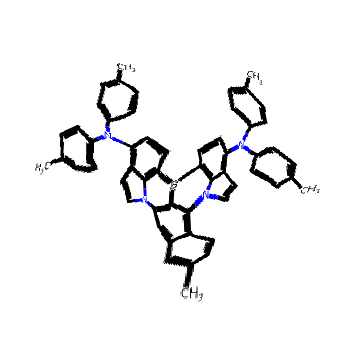 Cc1ccc(N(c2ccc(C)cc2)c2ccc3c4c2ccn4-c2cc4cc(C)ccc4c4c2B3c2ccc(N(c3ccc(C)cc3)c3ccc(C)cc3)c3ccn-4c23)cc1